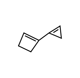 C1=C(C2=CCC2)C1